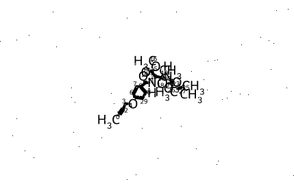 CC#CCOc1ccc(C(=O)N[C@H](C(=O)OC)C(C)(C)NC(=O)OC(C)(C)C)cc1